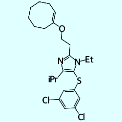 CCn1c(CCOC2=CCCCCCC2)nc(C(C)C)c1Sc1cc(Cl)cc(Cl)c1